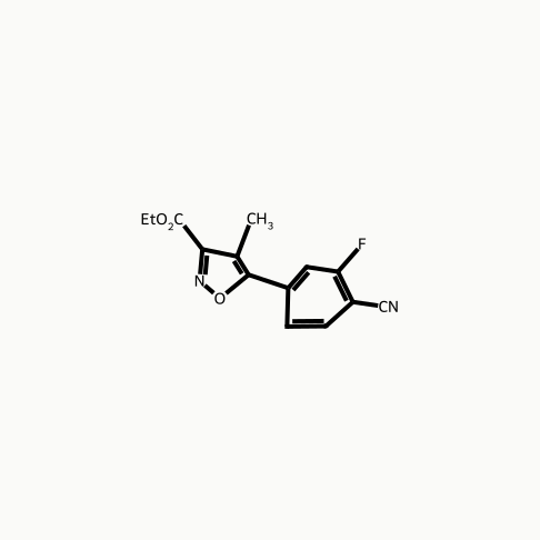 CCOC(=O)c1noc(-c2ccc(C#N)c(F)c2)c1C